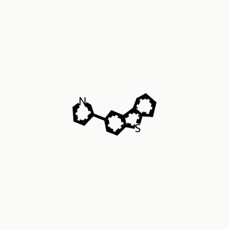 c1cncc(-c2ccc3sc4ccccc4c3c2)c1